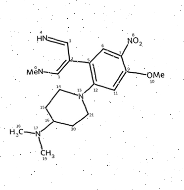 CN/C=C(\C=N)c1cc([N+](=O)[O-])c(OC)cc1N1CCC(N(C)C)CC1